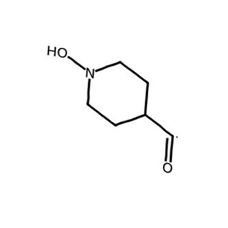 O=[C]C1CCN(O)CC1